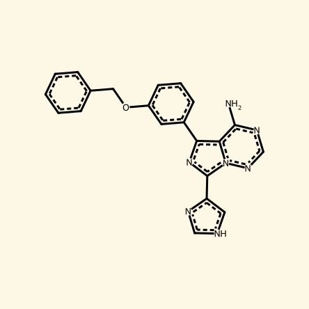 Nc1ncnn2c(-c3c[nH]cn3)nc(-c3cccc(OCc4ccccc4)c3)c12